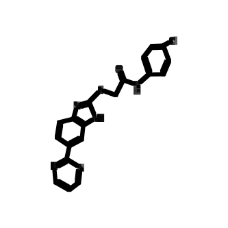 O=C(CSc1nc2ccc(-c3ncccn3)cc2[nH]1)Nc1ccc(Cl)cc1